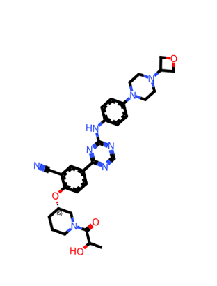 CC(O)C(=O)N1CCC[C@H](Oc2ccc(-c3ncnc(Nc4ccc(N5CCN(C6COC6)CC5)cc4)n3)cc2C#N)C1